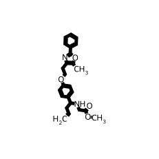 C=CCC(NCC(=O)OC)c1ccc(OCCc2nc(-c3ccccc3)oc2C)cc1